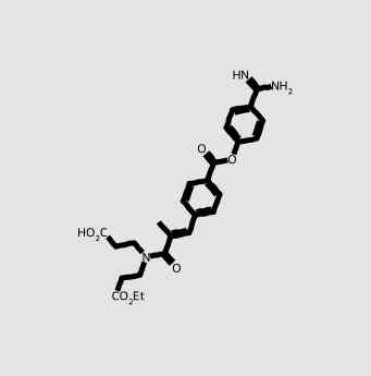 CCOC(=O)CCN(CCC(=O)O)C(=O)/C(C)=C/c1ccc(C(=O)Oc2ccc(C(=N)N)cc2)cc1